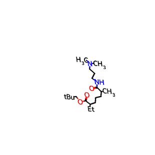 CCC(CCCC(C)C(=O)NCCCN(C)C)C(=O)OCC(C)(C)C